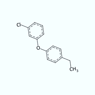 CCc1ccc(Oc2cccc(Cl)c2)cc1